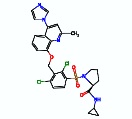 Cc1cc(-n2ccnc2)c2cccc(OCc3c(Cl)ccc(S(=O)(=O)N4CCC[C@H]4C(=O)NC4CC4)c3Cl)c2n1